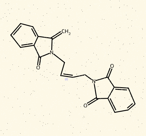 C=C1c2ccccc2C(=O)N1C/C=C\CN1C(=O)c2ccccc2C1=O